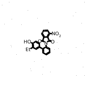 CCc1cc(-c2ccccc2N2C(=O)c3cccc([N+](=O)[O-])c3C2=O)ccc1O